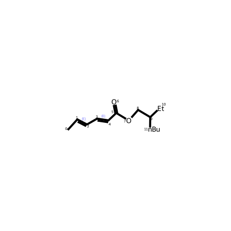 C/C=C/C=C/C(=O)OCC(CC)CCCC